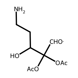 CC(=O)OC([C]=O)(OC(C)=O)C(O)CCN